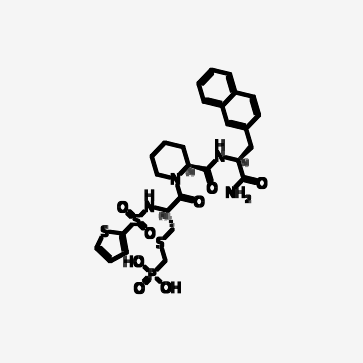 NC(=O)[C@H](Cc1ccc2ccccc2c1)NC(=O)[C@@H]1CCCCN1C(=O)[C@H](CSCP(=O)(O)O)NS(=O)(=O)c1cccs1